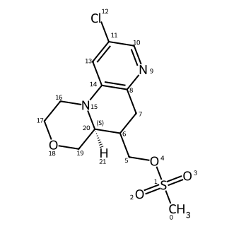 CS(=O)(=O)OCC1Cc2ncc(Cl)cc2N2CCOC[C@H]12